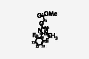 COC(=O)COc1nc(-c2c(F)cccc2F)n(C)n1